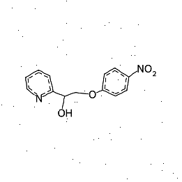 O=[N+]([O-])c1ccc(OCC(O)c2ccccn2)cc1